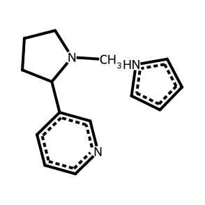 CN1CCCC1c1cccnc1.c1cc[nH]c1